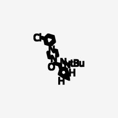 CC(C)(C)n1nc(C(=O)N2CCN(c3cccc(Cl)c3)CC2)c2c1[C@@H]1C[C@@H]1C2